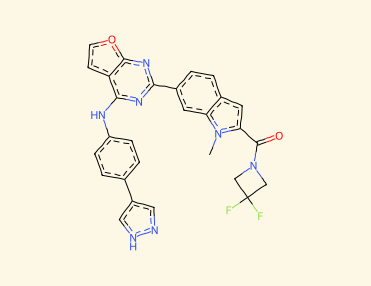 Cn1c(C(=O)N2CC(F)(F)C2)cc2ccc(-c3nc(Nc4ccc(-c5cn[nH]c5)cc4)c4ccoc4n3)cc21